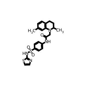 Cc1ccc2c(c1)N(CC(=O)Nc1ccc(S(=O)(=O)Nc3nccs3)cc1)C(C)CC2